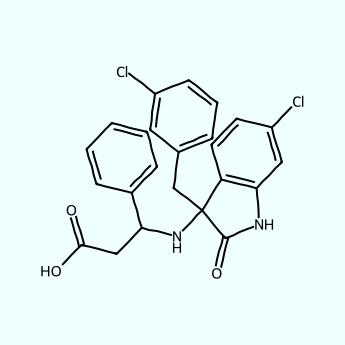 O=C(O)CC(NC1(Cc2cccc(Cl)c2)C(=O)Nc2cc(Cl)ccc21)c1ccccc1